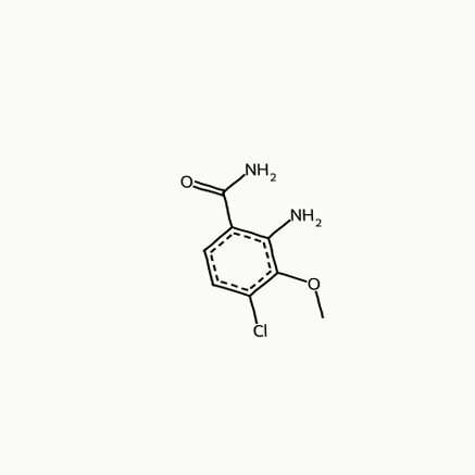 COc1c(Cl)ccc(C(N)=O)c1N